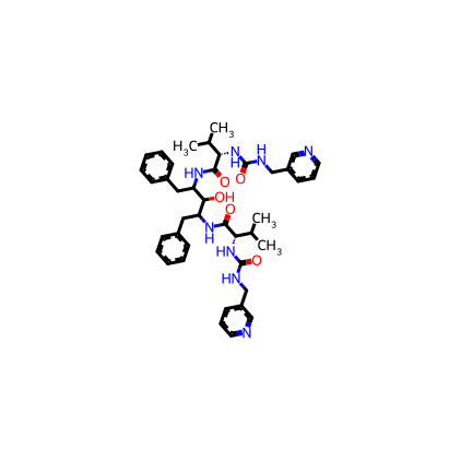 CC(C)[C@H](NC(=O)NCc1cccnc1)C(=O)NC(Cc1ccccc1)C(O)C(Cc1ccccc1)NC(=O)[C@@H](NC(=O)NCc1cccnc1)C(C)C